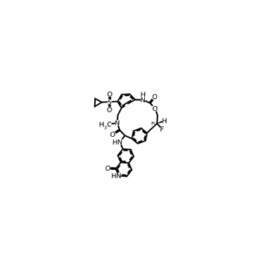 CN1Cc2cc(ccc2S(=O)(=O)C2CC2)NC(=O)OC[C@H](F)c2ccc(cc2)C(Nc2ccc3cc[nH]c(=O)c3c2)C1=O